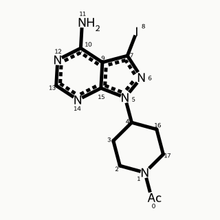 CC(=O)N1CCC(n2nc(I)c3c(N)ncnc32)CC1